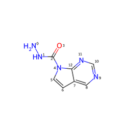 NNC(=O)n1ccc2cncnc21